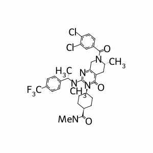 CNC(=O)[C@H]1CC[C@@H](n2c(N(C)[C@@H](C)c3ccc(C(F)(F)F)cc3)nc3c(c2=O)C[C@@H](C)N(C(=O)c2ccc(Cl)c(Cl)c2)C3)CC1